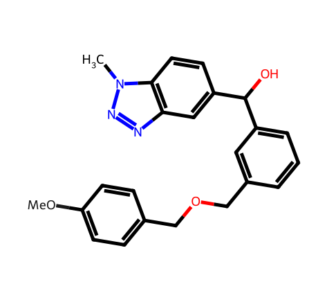 COc1ccc(COCc2cccc(C(O)c3ccc4c(c3)nnn4C)c2)cc1